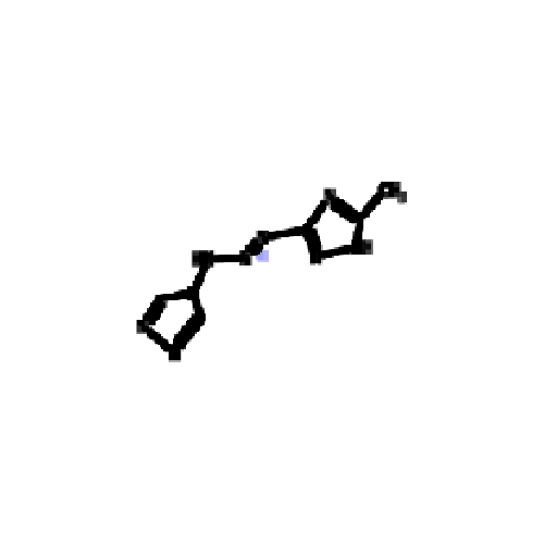 Cc1nc(/N=N/Nn2cnnc2)n[nH]1